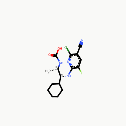 C[C@H](NC(=O)O)[C@H](Nc1nc(Cl)c(C#N)cc1F)C1CCCCC1